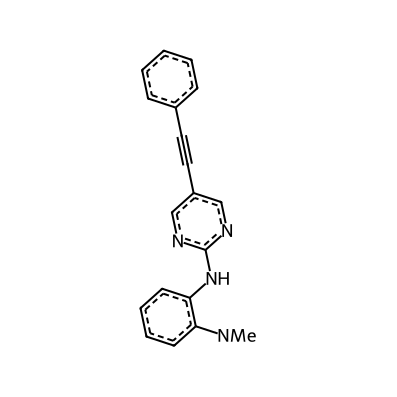 CNc1ccccc1Nc1ncc(C#Cc2ccccc2)cn1